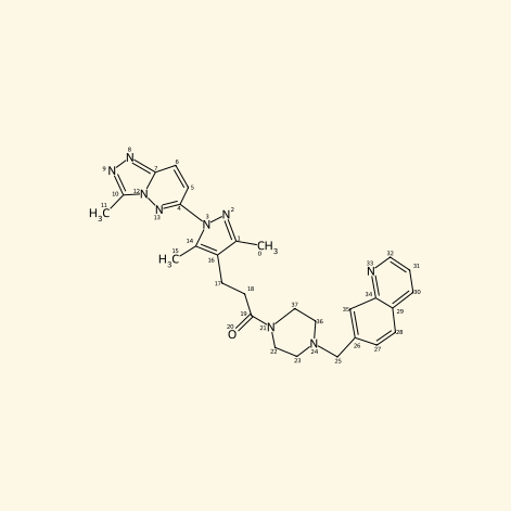 Cc1nn(-c2ccc3nnc(C)n3n2)c(C)c1CCC(=O)N1CCN(Cc2ccc3cccnc3c2)CC1